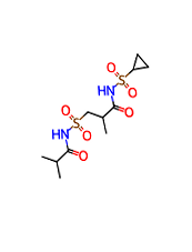 CC(C)C(=O)NS(=O)(=O)CC(C)C(=O)NS(=O)(=O)C1CC1